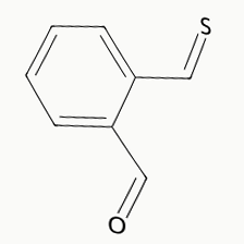 O=Cc1ccccc1C=S